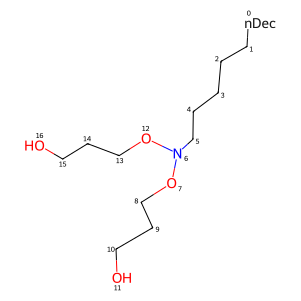 CCCCCCCCCCCCCCCN(OCCCO)OCCCO